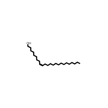 [CH2]CCCCCCCCCCCCC/C=C\CCCCCCCCO